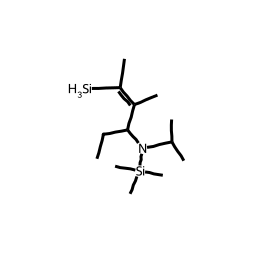 CCC(C(C)=C(C)[SiH3])N(C(C)C)[Si](C)(C)C